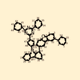 c1ccc(-c2ccc3oc4ccc(-c5cccc6c7ccccc7n(-c7ccc(-c8nc(-c9ccccc9)nc(-c9ccccc9)n8)cc7)c56)cc4c3c2)cc1